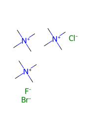 C[N+](C)(C)C.C[N+](C)(C)C.C[N+](C)(C)C.[Br-].[Cl-].[F-]